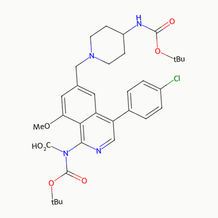 COc1cc(CN2CCC(NC(=O)OC(C)(C)C)CC2)cc2c(-c3ccc(Cl)cc3)cnc(N(C(=O)O)C(=O)OC(C)(C)C)c12